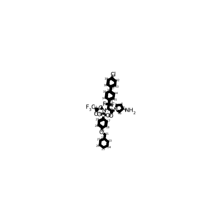 N[C@H]1CCN(C(=O)[C@H](N(OC(=O)C(F)(F)F)S(=O)(=O)c2ccc(OCC3CCCCC3)cc2)C(F)(F)c2ccc(-c3ccc(Cl)cc3)cc2)C1